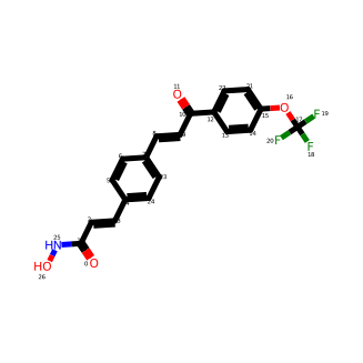 O=C(C=Cc1ccc(C=CC(=O)c2ccc(OC(F)(F)F)cc2)cc1)NO